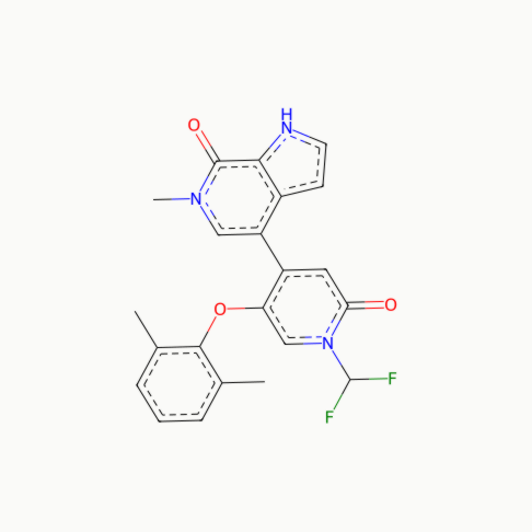 Cc1cccc(C)c1Oc1cn(C(F)F)c(=O)cc1-c1cn(C)c(=O)c2[nH]ccc12